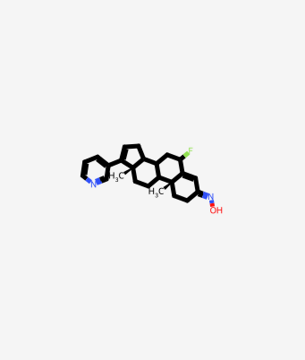 C[C@]12CCC(=NO)C=C1C(F)CC1C2CC[C@]2(C)C(c3cccnc3)=CCC12